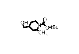 CC1CC(CO)CCN1C(=O)OC(C)(C)C